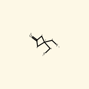 O=C1CC(CF)(CF)C1